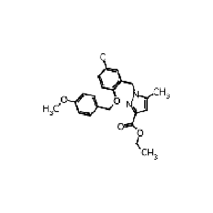 CCOC(=O)c1cc(C)n(Cc2cc(Cl)ccc2OCc2ccc(OC)cc2)n1